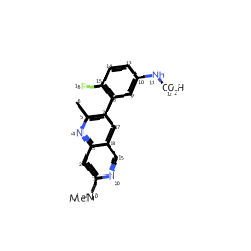 CNc1cc2nc(C)c(-c3cc(NC(=O)O)ccc3F)cc2cn1